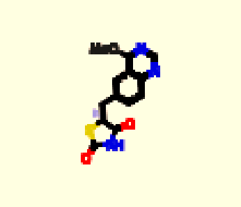 COc1ncnc2ccc(/C=C3/SC(=O)NC3=O)cc12